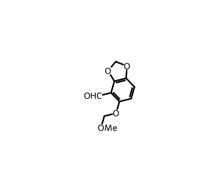 COCOc1ccc2c(c1C=O)OCO2